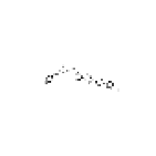 COc1ccc(CC(=O)NCC(=O)N(CC(=O)O)Cc2ccc(-c3ncc(C4=CCC(c5ccc(CC(C)C)cc5)CC4)cn3)cc2)cc1